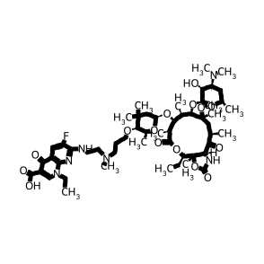 CC[C@H]1OC(=O)[C@H](C)[C@@H](O[C@H]2CC(C)(C)[C@@H](OCCCN(C)CCNc3nc4c(cc3F)c(=O)c(C(=O)O)cn4CC)[C@H](C)O2)[C@H](C)[C@@H](O[C@@H]2O[C@H](C)C[C@H](N(C)C)[C@H]2O)[C@](C)(OC)C[C@@H](C)C(=O)[C@H]2NC(=O)O[C@@]21C